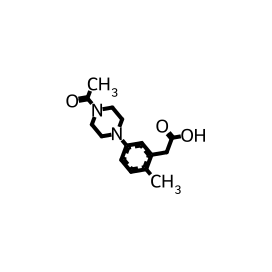 CC(=O)N1CCN(c2ccc(C)c(CC(=O)O)c2)CC1